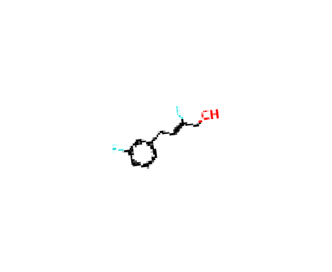 OCC(F)=CCc1cccc(F)c1